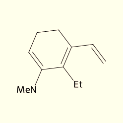 C=CC1=C(CC)C(NC)=CCC1